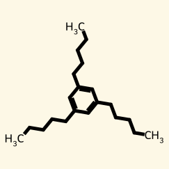 CCCCCc1cc(CCCCC)cc(CCCCC)c1